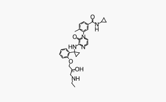 CCNC[C@H](O)COc1ccccc1C1(Nc2nccn(-c3cc(C(=O)NC4CC4)ccc3C)c2=O)CC1